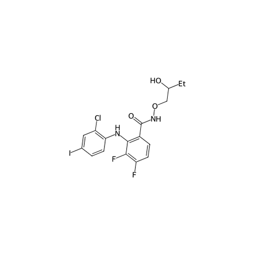 CCC(O)CONC(=O)c1ccc(F)c(F)c1Nc1ccc(I)cc1Cl